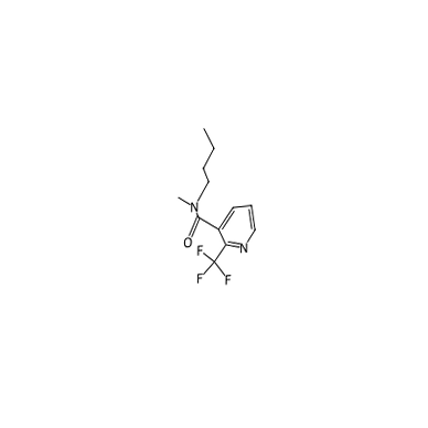 CCCCN(C)C(=O)c1cccnc1C(F)(F)F